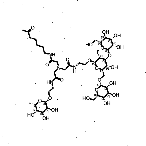 CC(=O)CCCCCNC(=O)CN(CC(=O)NCCO[C@@H]1O[C@@H](C)[C@@H](O)[C@@H](O)[C@@H]1O)CC(=O)NCCO[C@@H]1O[C@H](CO[C@H]2O[C@H](CO)[C@@H](O)[C@H](O)[C@@H]2O)[C@@H](O)[C@H](O[C@H]2O[C@H](CO)[C@@H](O)[C@H](O)[C@@H]2O)[C@H]1F